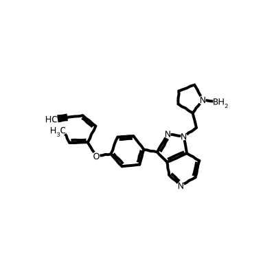 BN1CCCC1Cn1nc(-c2ccc(OC(/C=C\C#C)=C/C)cc2)c2cnccc21